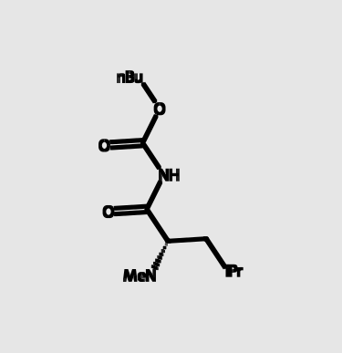 CCCCOC(=O)NC(=O)[C@H](CC(C)C)NC